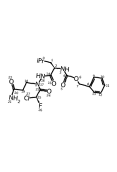 CC(C)C[C@@H](NC(=O)OCc1ccccc1)C(=O)NN(CCC(N)=O)C(=O)[C@@H](F)Cl